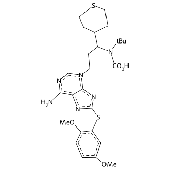 COc1ccc(OC)c(Sc2nc3c(N)ncn(CCC(C4CCSCC4)N(C(=O)O)C(C)(C)C)c-3n2)c1